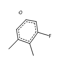 Cc1cccc(F)c1C.[O]